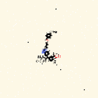 CCOC(=O)CC(c1ccc(C)c([C@H](C)O)c1)c1ccc2c(nnn2CCCCOCc2ccc(OC)cc2)c1C